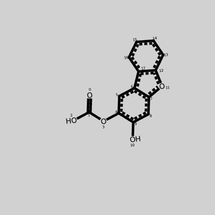 O=C(O)Oc1cc2c(cc1O)oc1ccccc12